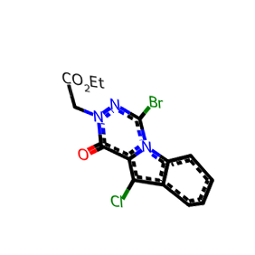 CCOC(=O)Cn1nc(Br)n2c(c(Cl)c3ccccc32)c1=O